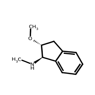 CN[C@@H]1c2ccccc2C[C@H]1OC